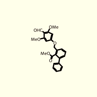 COC(=O)c1c(COc2cc(OC)c(C=O)c(OC)c2)cccc1-c1ccccc1